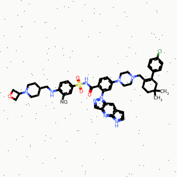 CC1(C)CCC(CN2CCN(c3ccc(C(=O)NS(=O)(=O)c4ccc(NCC5CCN(C6COC6)CC5)c(N=O)c4)c(-n4ncc5nc6[nH]ccc6cc54)c3)CC2)=C(c2ccc(Cl)cc2)C1